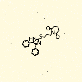 O=C1CCCC(=O)N1CCCSc1nc(-c2ccccc2)c(-c2ccccc2)[nH]1